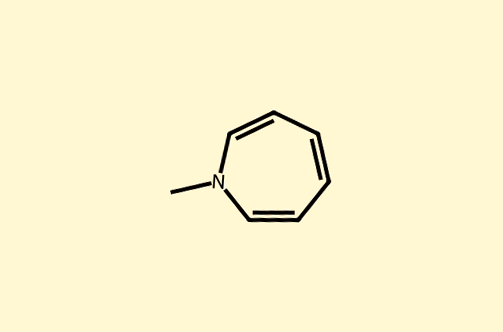 CN1C=CC=CC=C1